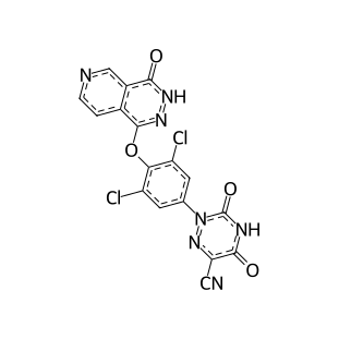 N#Cc1nn(-c2cc(Cl)c(Oc3n[nH]c(=O)c4cnccc34)c(Cl)c2)c(=O)[nH]c1=O